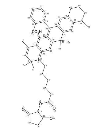 CC1=CC(C)(C)[N+](CCCCCC(=O)ON2C(=O)CCC2=O)=c2cc3c(cc21)=C(c1ccccc1C(=O)O)c1cc2c(cc1C3(C)C)N(C)CCC2